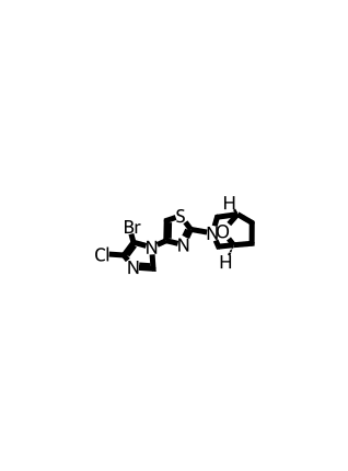 Clc1ncn(-c2csc(N3C[C@H]4CC[C@@H](C3)O4)n2)c1Br